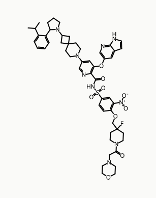 CC(C)c1ccccc1C1CCCN1C1CC2(CCN(c3cnc(C(=O)NS(=O)(=O)c4ccc(OCC5(F)CCN(C(=O)CN6CCOCC6)CC5)c([N+](=O)[O-])c4)c(Oc4cnc5[nH]ccc5c4)c3)CC2)C1